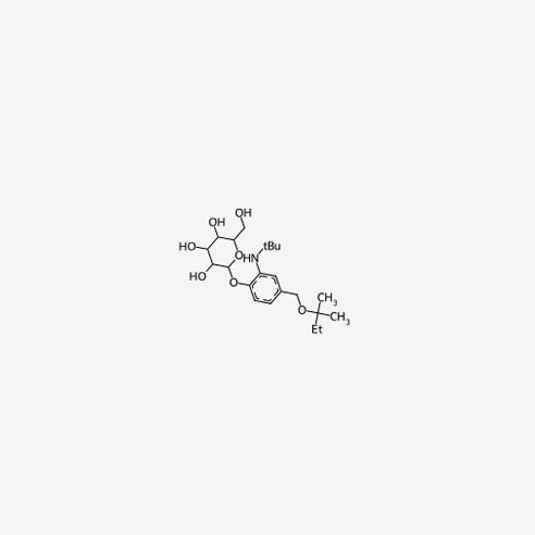 CCC(C)(C)OCc1ccc(OC2OC(CO)C(O)C(O)C2O)c(NC(C)(C)C)c1